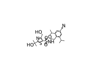 CC(C)c1cc(C#N)cc(C(C)C)c1CC(=O)NS(=O)(=O)c1sc(C(C)(C)O)nc1CO